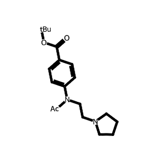 CC(=O)N(CCN1CCCC1)c1ccc(C(=O)OC(C)(C)C)cc1